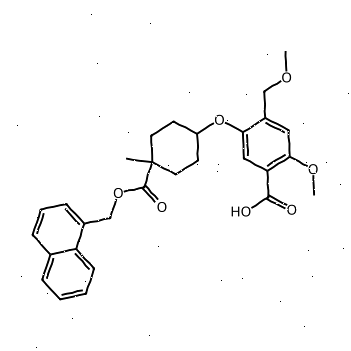 COCc1cc(OC)c(C(=O)O)cc1OC1CCC(C)(C(=O)OCc2cccc3ccccc23)CC1